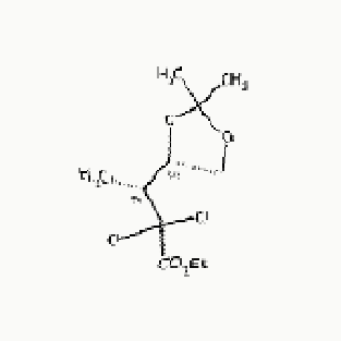 CCOC(=O)C(Cl)(Cl)[C@H](C)[C@H]1COC(C)(C)O1